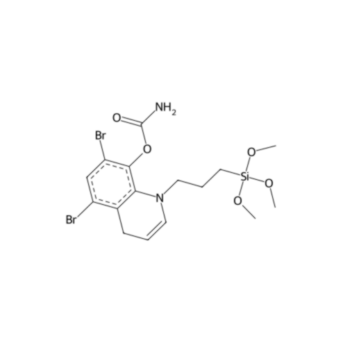 CO[Si](CCCN1C=CCc2c(Br)cc(Br)c(OC(N)=O)c21)(OC)OC